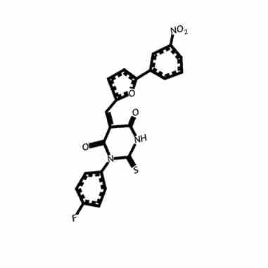 O=C1NC(=S)N(c2ccc(F)cc2)C(=O)C1=Cc1ccc(-c2cccc([N+](=O)[O-])c2)o1